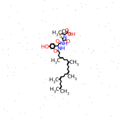 CC(C)=CCCC(C)=CCCC(C)=CCCC=C(C)CCC=C(C)CCC(=O)NC(C(=O)NC1C(=O)N2C1SC(C)(C)C2C(=O)O)c1ccc(O)cc1